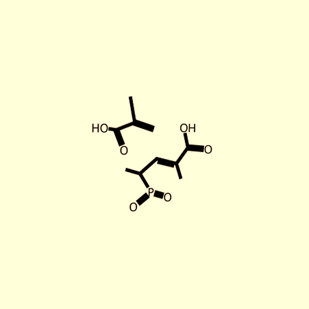 C=C(C)C(=O)O.CC(=CC(C)P(=O)=O)C(=O)O